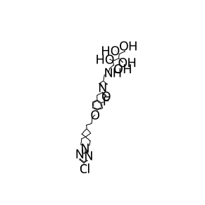 O=C(Cc1ccc(OCCCC2CC3(CCN(c4ncc(Cl)cn4)CC3)C2)cc1F)N1CC(CNC[C@H](O)[C@@H](O)[C@H](O)[C@H](O)CO)C1